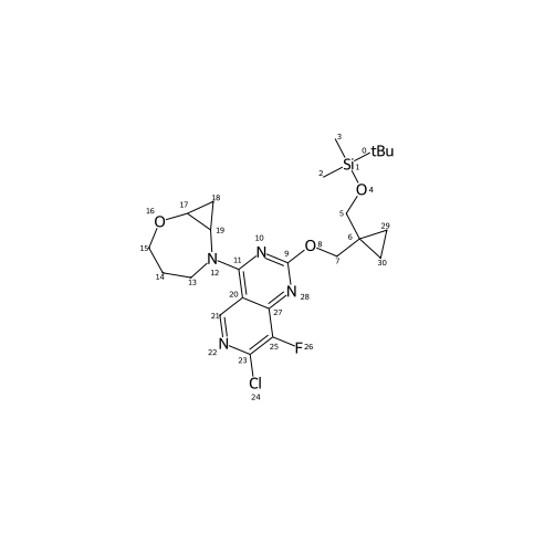 CC(C)(C)[Si](C)(C)OCC1(COc2nc(N3CCCOC4CC43)c3cnc(Cl)c(F)c3n2)CC1